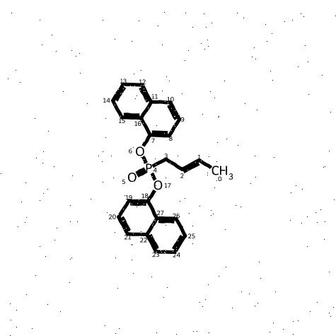 C/C=C/CP(=O)(Oc1cccc2ccccc12)Oc1cccc2ccccc12